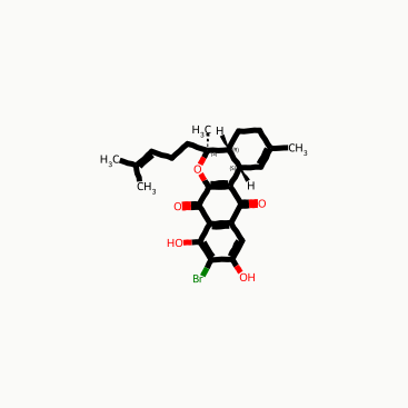 CC(C)=CCC[C@]1(C)OC2=C(C(=O)c3cc(O)c(Br)c(O)c3C2=O)[C@H]2C=C(C)CC[C@H]21